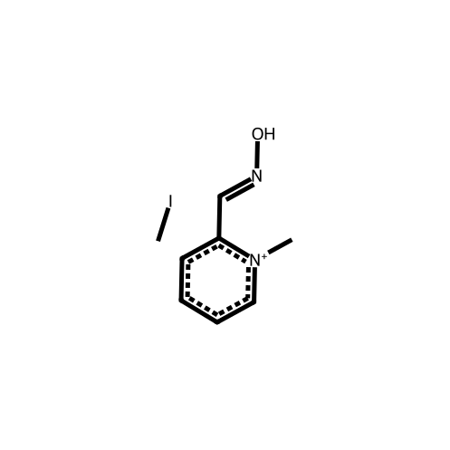 CI.C[n+]1ccccc1C=NO